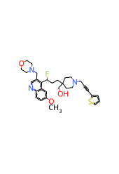 COc1ccc2ncc(CN3CCOCC3)c([C@@H](F)CCC3(CO)CCN(CC#Cc4cccs4)CC3)c2c1